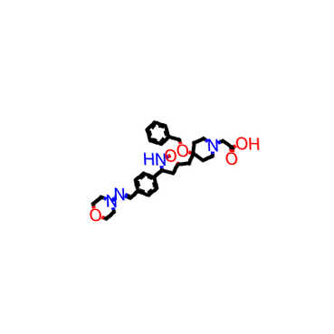 O=C(O)CN1CCC(CC2CC(c3ccc(C=NN4CCOCC4)cc3)NO2)(OCc2ccccc2)CC1